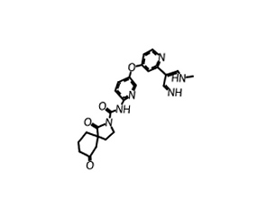 CN/C=C(\C=N)c1cc(Oc2ccc(NC(=O)N3CCC4(CCCC(=O)C4)C3=O)nc2)ccn1